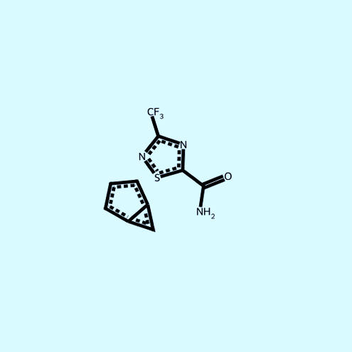 NC(=O)c1nc(C(F)(F)F)ns1.c1cc2cc-2c1